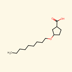 CCCCCCCCCOC1CCC(C(=O)O)C1